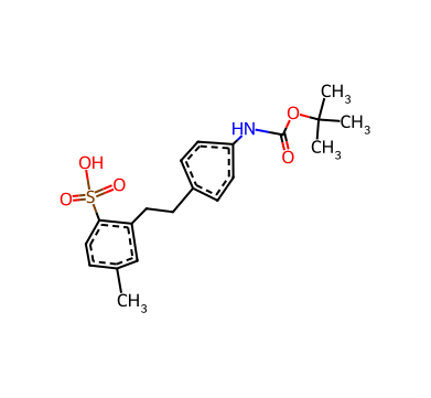 Cc1ccc(S(=O)(=O)O)c(CCc2ccc(NC(=O)OC(C)(C)C)cc2)c1